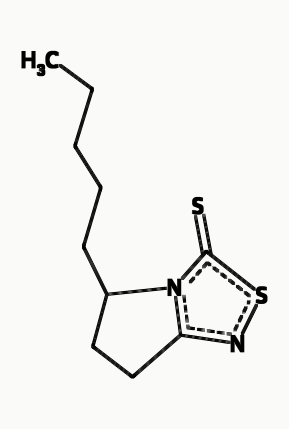 CCCCCC1CCc2nsc(=S)n21